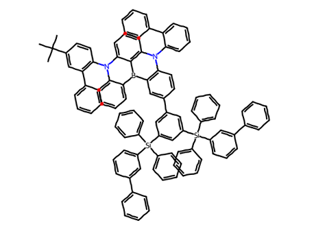 CC(C)(C)c1ccc(N2c3ccccc3B3c4cc(-c5cc([Si](c6ccccc6)(c6ccccc6)c6cccc(-c7ccccc7)c6)cc([Si](c6ccccc6)(c6ccccc6)c6cccc(-c7ccccc7)c6)c5)ccc4N(c4ccccc4-c4ccccc4)c4cccc2c43)c(-c2ccccc2)c1